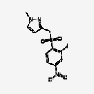 Cn1ccc(CS(=O)(=O)c2ccc([N+](=O)[O-])cc2I)n1